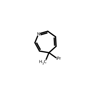 CC(C)C1(C)C=CC=NC=C1